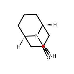 N=BN1[C@@H]2CCC[C@H]1CC(=O)C2